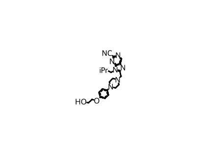 CC(C)Cn1c(CN2CCN(c3ccc(OCCO)cc3)CC2)nc2cnc(C#N)nc21